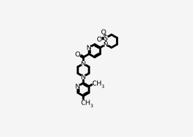 Cc1cnc(N2CCN(C(=O)c3ccc(N4CCCCS4(=O)=O)cn3)CC2)c(C)c1